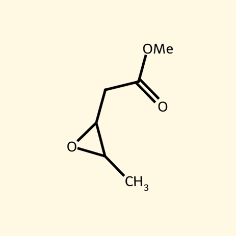 COC(=O)CC1OC1C